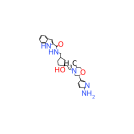 C[C@H]1CO[C@@H](c2ccc(N)nc2)CN1CC[C@]1(O)CCC(CNC(=O)c2cc3ccccc3[nH]2)C1